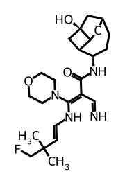 CC(C)(/C=C/N/C(=C(\C=N)C(=O)N[C@@H]1CCC2CC3C1C[C@]3(O)C2)N1CCOCC1)CF